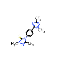 Cn1nc(C(F)(F)F)nc1-c1ccc(-n2c(C(F)(F)F)nn(C)c2=S)cc1